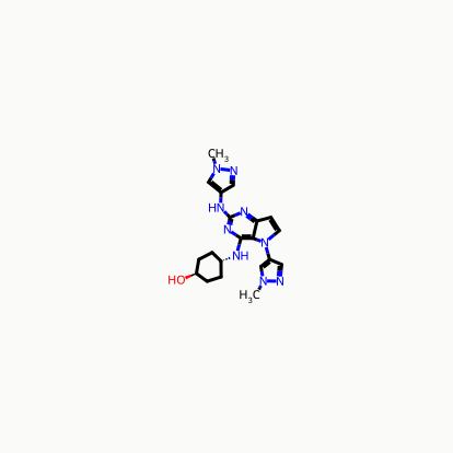 Cn1cc(Nc2nc(N[C@H]3CC[C@H](O)CC3)c3c(ccn3-c3cnn(C)c3)n2)cn1